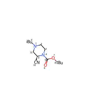 CCC(C)N1CCN(C(=O)OC(C)(C)C)[C@@H](C#N)C1